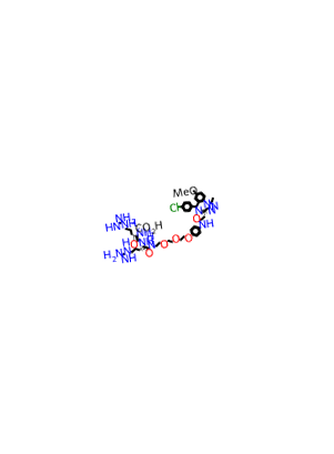 COc1ccc2c(c1)C(c1ccc(Cl)cc1)=N[C@@H](CC(=O)Nc1ccc(OCCOCCOCCNC(=O)[C@H](CCCNC(=N)N)NC(=O)[C@H](CCCNC(=N)N)NC(=O)O)cc1)c1nnc(C)n1-2